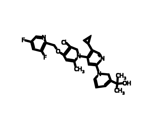 CC1=CC(OCc2ncc(F)cc2F)=C(Cl)CN1c1cc(N2C=CC=C(C(C)(C)O)C2)ncc1C1CC1